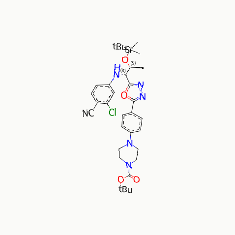 C[C@H](O[Si](C)(C)C(C)(C)C)[C@@H](Nc1ccc(C#N)c(Cl)c1)c1nnc(-c2ccc(N3CCN(C(=O)OC(C)(C)C)CC3)cc2)o1